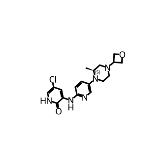 C[C@H]1CN(C2COC2)CCN1c1ccc(Nc2cc(Cl)c[nH]c2=O)nc1